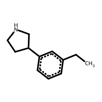 CCc1cccc(C2CCNC2)c1